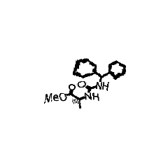 COC(=O)[C@H](C)NC(=O)NC(c1ccccc1)c1ccccc1